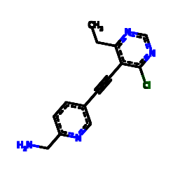 CCc1ncnc(Cl)c1C#Cc1ccc(CN)nc1